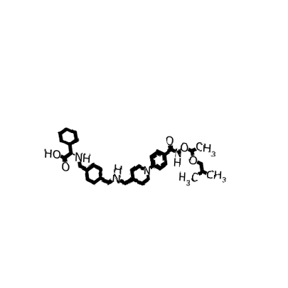 CC(C)COC(C)ONC(=O)c1ccc(N2CCC(CNCC3CCC(CN[C@H](C(=O)O)C4CCCCC4)CC3)CC2)cc1